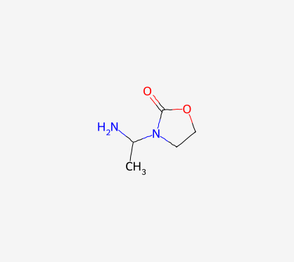 CC(N)N1CCOC1=O